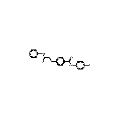 O=C(CSc1ccc(C(=O)Nc2ccc(F)cc2)cn1)Nc1ccccc1